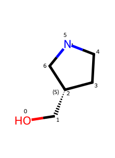 OC[C@H]1CC[N]C1